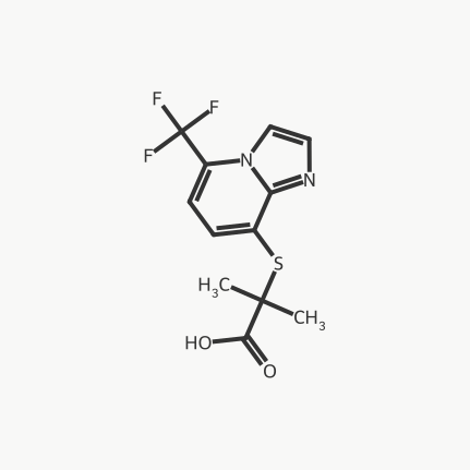 CC(C)(Sc1ccc(C(F)(F)F)n2ccnc12)C(=O)O